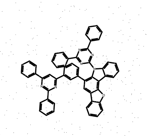 c1ccc(-c2cc(-c3cccc(-c4cc5c6ccccc6oc5c5c6ccccc6n(-c6nc(-c7ccccc7)nc(-c7ccccc7)n6)c45)c3)nc(-c3ccccc3)n2)cc1